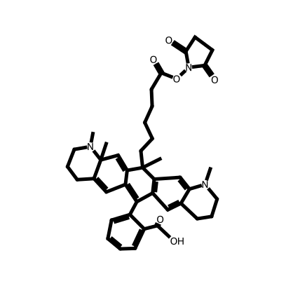 CN1CCCc2cc3c(cc21)C(C)(CCCCCC(=O)ON1C(=O)CCC1=O)C1=CC2(C)C(=CC1=C3c1ccccc1C(=O)O)CCCN2C